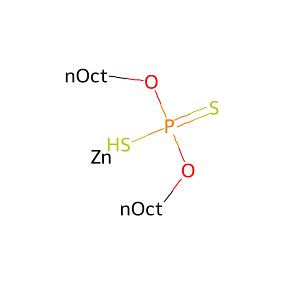 CCCCCCCCOP(=S)(S)OCCCCCCCC.[Zn]